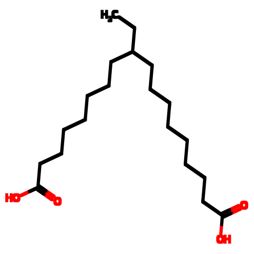 CCC(CCCCCCCCC(=O)O)CCCCCCCC(=O)O